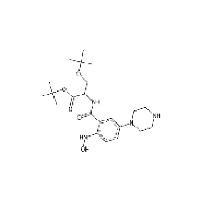 CC(C)(C)OCC(NC(=O)c1cc(N2CCNCC2)ccc1NO)C(=O)OC(C)(C)C